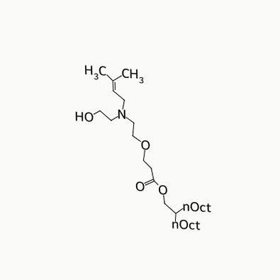 CCCCCCCCC(CCCCCCCC)COC(=O)CCOCCN(CC=C(C)C)CCO